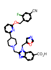 N#Cc1ccc(COc2cccc(C3CCN(Cc4nc5ccc(C(=O)O)cc5n4Cc4cnco4)CC3)n2)c(F)c1